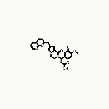 COc1ccc(C(CC(=O)O)N2CCn3cc(Cc4ccc5cccnc5n4)cc3C2=O)cc1F